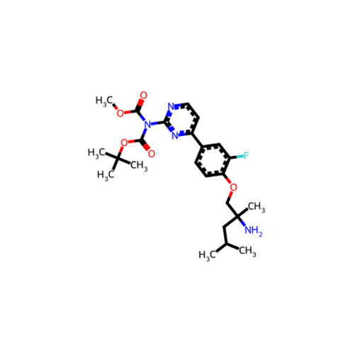 COC(=O)N(C(=O)OC(C)(C)C)c1nccc(-c2ccc(OCC(C)(N)CC(C)C)c(F)c2)n1